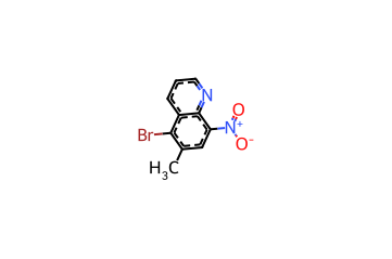 Cc1cc([N+](=O)[O-])c2ncccc2c1Br